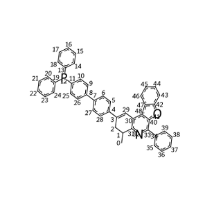 CC1CC(c2ccc(-c3ccc(P(c4ccccc4)c4ccccc4)cc3)cc2)=Cc2c1nc(-c1ccccc1)c1oc3ccccc3c21